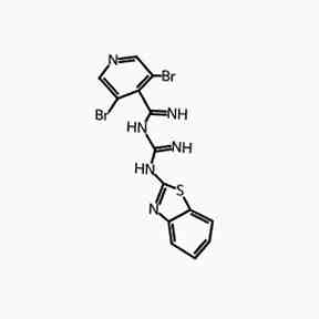 N=C(NC(=N)c1c(Br)cncc1Br)Nc1nc2ccccc2s1